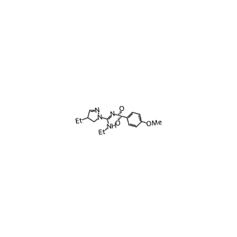 CCN/C(=N\S(=O)(=O)c1ccc(OC)cc1)N1CC(CC)C=N1